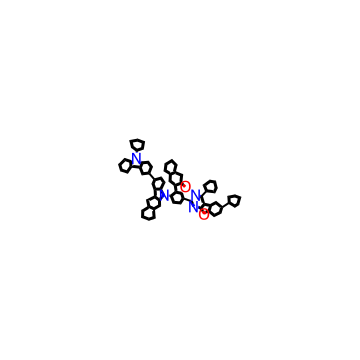 c1ccc(-c2ccc3oc4nc(-c5ccc(-n6c7ccc(-c8ccc9c(c8)c8ccccc8n9-c8ccccc8)cc7c7cc8ccccc8cc76)c6c5oc5cc7ccccc7cc56)nc(-c5ccccc5)c4c3c2)cc1